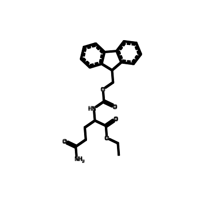 CCOC(=O)C(CCC(N)=O)NC(=O)OCC1c2ccccc2-c2ccccc21